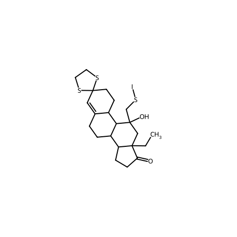 CCC12CC(O)(CSI)C3C4CCC5(C=C4CCC3C1CCC2=O)SCCS5